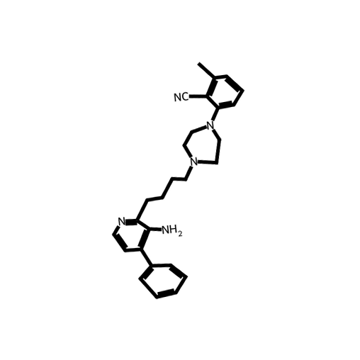 Cc1cccc(N2CCN(CCCCc3nccc(-c4ccccc4)c3N)CC2)c1C#N